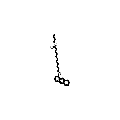 CCCCOC(=O)CCCCCCCCCCOc1cccc2cc3ccccc3cc12